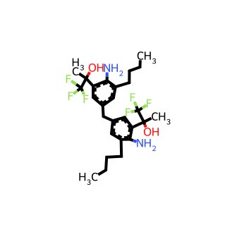 CCCCc1cc(Cc2cc(CCCC)c(N)c(C(C)(O)C(F)(F)F)c2)cc(C(C)(O)C(F)(F)F)c1N